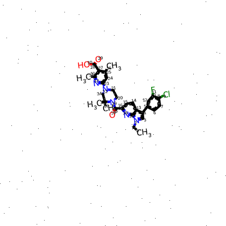 CCn1cc(-c2ccc(Cl)c(F)c2)c2ccc(C(=O)N3CCN(c4cc(C)c(C(=O)O)c(C)n4)CC3(C)C)nc21